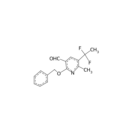 Cc1nc(OCc2ccccc2)c(C=O)cc1C(C)(F)F